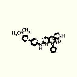 CN(C)[C@H]1CCN(c2ccc(Nc3ncc4c(n3)N(C3CCCC3)C(=O)[C@]3(CCNC3=O)C4)nc2)C1